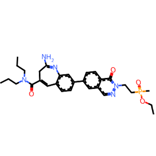 CCCN(CCC)C(=O)C1=Cc2ccc(-c3ccc4c(=O)n(CCP(C)(=O)OCC)ncc4c3)cc2N=C(N)C1